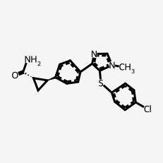 Cn1cnc(-c2ccc([C@H]3C[C@@H]3C(N)=O)cc2)c1Sc1ccc(Cl)cc1